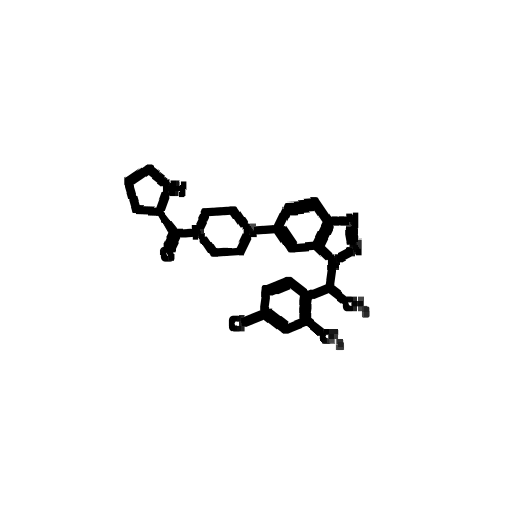 CC(c1ccc(Cl)cc1C(F)(F)F)n1nnc2ccc(N3CCN(C(=O)[C@H]4CCCN4)CC3)cc21